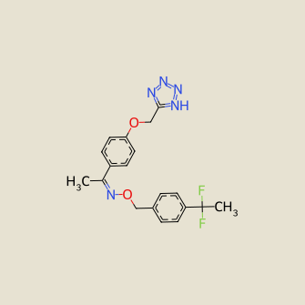 CC(=NOCc1ccc(C(C)(F)F)cc1)c1ccc(OCc2nnn[nH]2)cc1